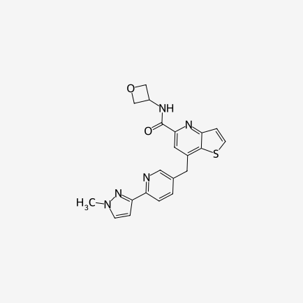 Cn1ccc(-c2ccc(Cc3cc(C(=O)NC4COC4)nc4ccsc34)cn2)n1